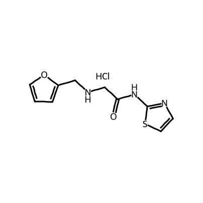 Cl.O=C(CNCc1ccco1)Nc1nccs1